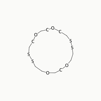 C1COCCSSCCOCCOCCSSCCO1